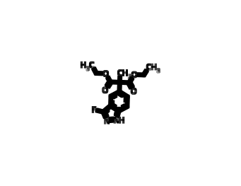 CCOC(=O)C(C)(C(=O)OCC)c1ccc2[nH]nc(F)c2c1